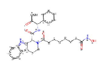 COC(=O)[C@@H](NC(=O)C1c2[nH]c3ccccc3c2CCN1C(=O)CCCCCCC(=O)NO)c1ccccc1